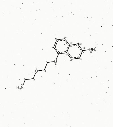 NCCOCCOc1cccc2nc(N)ccc12